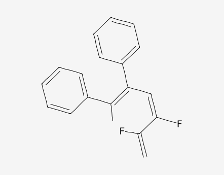 C=C(F)/C(F)=C\C(=C(/C)c1ccccc1)c1ccccc1